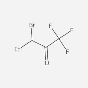 CCC(Br)C(=O)C(F)(F)F